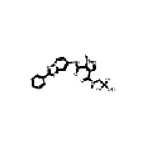 [3H]C([3H])(O)CN(C)C(=O)c1cnn(C)c1C(=O)Nc1ccn2nc(-c3ccccc3)nc2c1